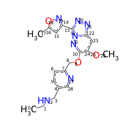 CCNCc1ccc(COc2nn3c(-c4cc(C)on4)nnc3cc2OC)nc1